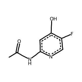 CC(=O)Nc1cc(O)c(F)cn1